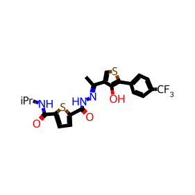 CC(=NNC(=O)c1ccc(C(=O)NC(C)C)s1)c1csc(-c2ccc(C(F)(F)F)cc2)c1O